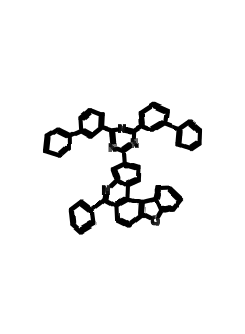 c1ccc(-c2cccc(-c3nc(-c4cccc(-c5ccccc5)c4)nc(-c4ccc5c(c4)nc(-c4ccccc4)c4ccc6oc7ccccc7c6c45)n3)c2)cc1